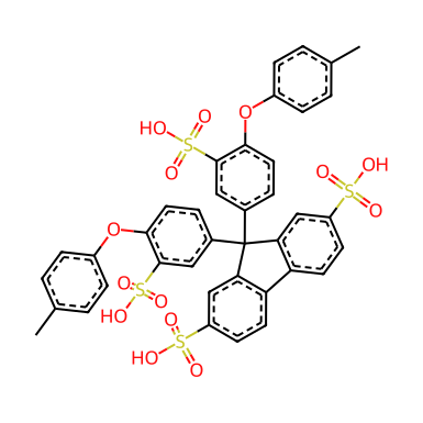 Cc1ccc(Oc2ccc(C3(c4ccc(Oc5ccc(C)cc5)c(S(=O)(=O)O)c4)c4cc(S(=O)(=O)O)ccc4-c4ccc(S(=O)(=O)O)cc43)cc2S(=O)(=O)O)cc1